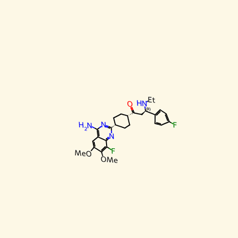 CCN[C@H](CC(=O)[C@H]1CC[C@@H](c2nc(N)c3cc(OC)c(OC)c(F)c3n2)CC1)c1ccc(F)cc1